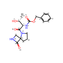 C[C@@H](O)[C@H](NC(=O)OCc1ccccc1)C(=O)N1CCCC12CNC2=O